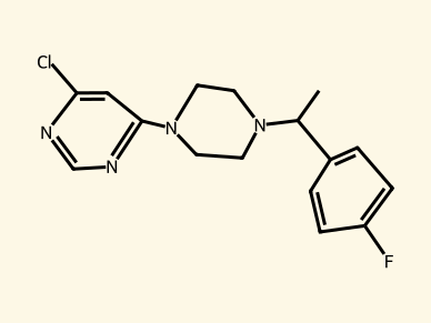 CC(c1ccc(F)cc1)N1CCN(c2cc(Cl)ncn2)CC1